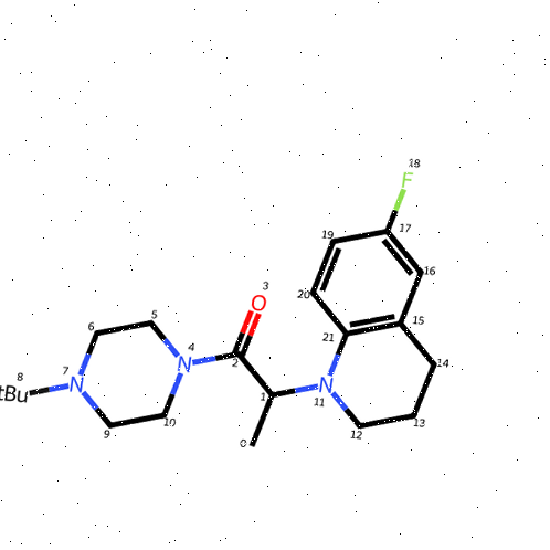 CC(C(=O)N1CCN(C(C)(C)C)CC1)N1CCCc2cc(F)ccc21